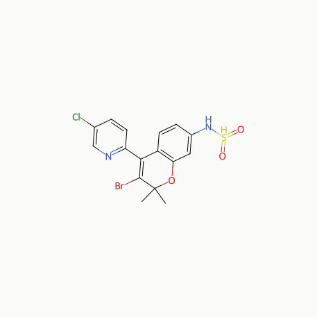 CC1(C)Oc2cc(N[SH](=O)=O)ccc2C(c2ccc(Cl)cn2)=C1Br